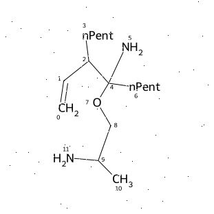 C=CC(CCCCC)C(N)(CCCCC)OCC(C)N